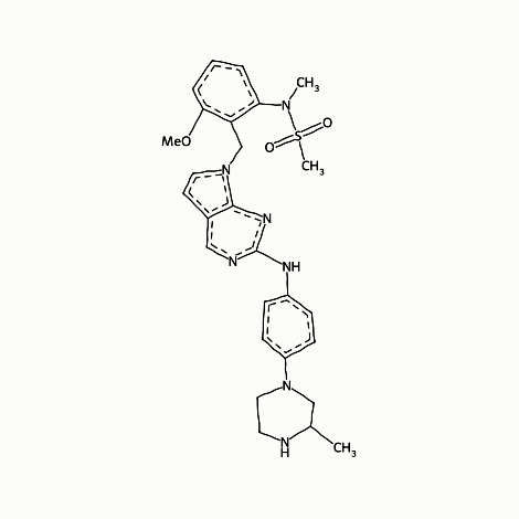 COc1cccc(N(C)S(C)(=O)=O)c1Cn1ccc2cnc(Nc3ccc(N4CCNC(C)C4)cc3)nc21